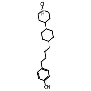 N#Cc1ccc(CCCC[C@H]2CC[C@H](C3CC[SiH](Cl)CC3)CC2)cc1